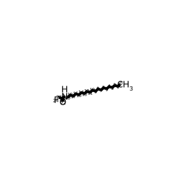 CCCCCCCCCCCCCCCCCCCCNC(=O)CF